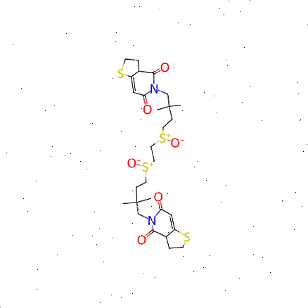 CC(C)(CC[S+]([O-])CC[S+]([O-])CCC(C)(C)CN1C(=O)C=C2SCCC2C1=O)CN1C(=O)C=C2SCCC2C1=O